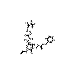 C=CCOC(=O)[C@@H](CCC(=O)OCc1ccccc1)NC(=O)[C@H](C)NC(=O)OC(C)(C)C.O=C(O)C(F)(F)F